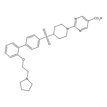 O=C(O)c1cnc(N2CCC(S(=O)(=O)c3ccc(-c4ccccc4OCCN4CCCC4)cc3)CC2)nc1